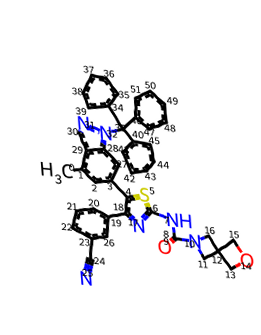 Cc1cc(-c2sc(NC(=O)N3CC4(COC4)C3)nc2-c2cccc(C#N)c2)cc2c1cnn2C(c1ccccc1)(c1ccccc1)c1ccccc1